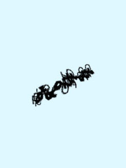 C=CC(=O)N1CCN(c2ccc(CCC(=O)N3C[C@H]4CCN(C(=O)c5cccc(-c6nc(NC(=O)C7(c8ccc9c(c8)OC(F)(F)O9)CC7)ccc6C)c5)CC[C@H]4C3)o2)C(=O)C1